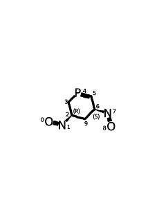 O=N[C@H]1CP=C[C@@H](N=O)C1